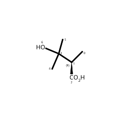 C[C@@H](C(=O)O)C(C)(C)O